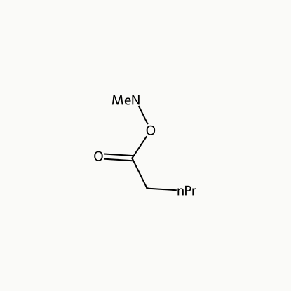 CCCCC(=O)ONC